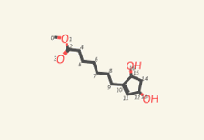 COC(=O)CCCCCCC1=CC(O)CC1O